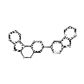 c1ccc2c(c1)nc1n2-c2ccc(-c3ccc4oc5ccccc5c4c3)cc2CS1